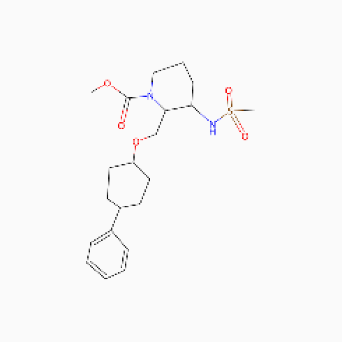 COC(=O)N1CCCC(NS(C)(=O)=O)C1COC1CCC(c2ccccc2)CC1